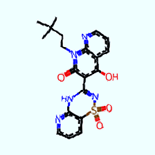 CC(C)(C)CCn1c(=O)c(C2=NS(=O)(=O)c3cccnc3N2)c(O)c2cccnc21